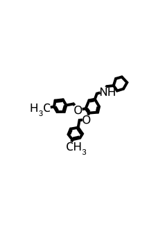 Cc1ccc(COc2ccc(CNCC3CCCCC3)cc2OCc2ccc(C)cc2)cc1